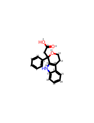 O=C(O)CC1(c2ccccc2)OCCc2c1[nH]c1ccccc21